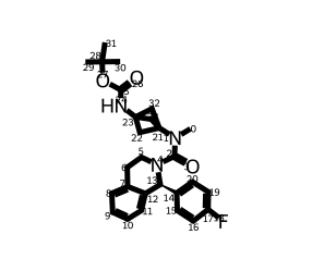 CN(C(=O)N1CCc2ccccc2[C@@H]1c1ccc(F)cc1)C12CC(NC(=O)OC(C)(C)C)(C1)C2